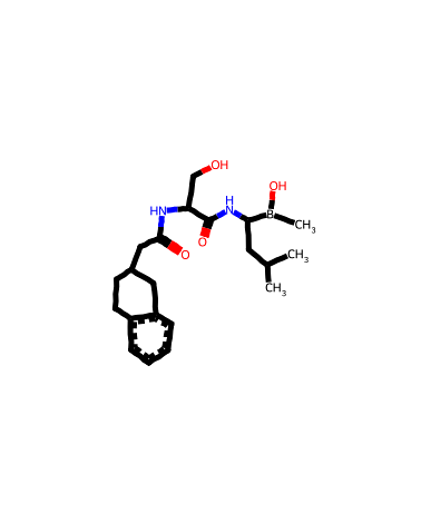 CB(O)C(CC(C)C)NC(=O)C(CO)NC(=O)CC1CCc2ccccc2C1